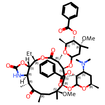 CC[C@H]1OC(=O)[C@H](C)[C@@H](OC2C[C@@](C)(OC)[C@@H](OC(=O)c3ccccc3)[C@H](C)O2)[C@H](C)[C@@H](OC2O[C@H](C)C[C@H](N(C)C)[C@H]2OC(=O)c2ccccc2)[C@@](C)(OC)C[C@@H](C)C(=O)[C@H](C)[C@H]2NC(=O)O[C@@H]21